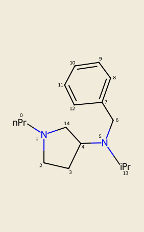 CCCN1CCC(N(Cc2ccccc2)C(C)C)C1